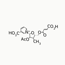 CC(=O)O[C@@H]1[C@H](C)[C@@H](COC(=O)/C=C/C(=O)O)O[C@H]1[n+]1cccc(C(=O)O)c1